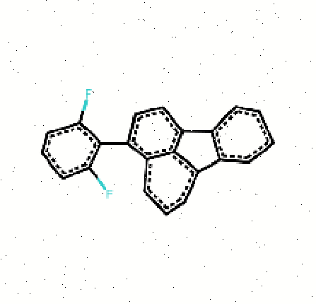 Fc1cccc(F)c1-c1ccc2c3c(cccc13)-c1ccccc1-2